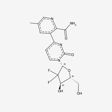 Cc1cnc(C(N)=O)c(-c2ccn([C@@H]3O[C@H](CO)[C@@H](O)C3(F)F)c(=O)n2)c1